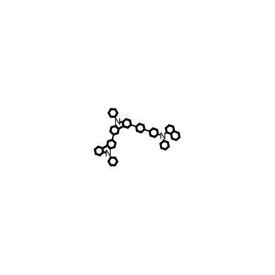 c1ccc(N(c2ccc(-c3ccc(-c4ccc5c(c4)c4cc(-c6ccc7c(c6)c6ccccc6n7-c6ccccc6)ccc4n5-c4ccccc4)cc3)cc2)c2cccc3ccccc23)cc1